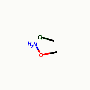 CCl.CON